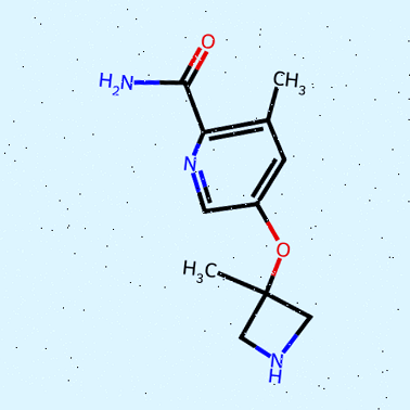 Cc1cc(OC2(C)CNC2)cnc1C(N)=O